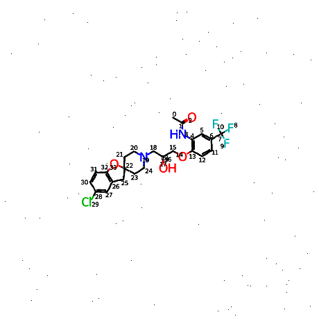 CC(=O)Nc1cc(C(F)(F)F)ccc1OC[C@@H](O)CN1CCC2(CC1)Cc1cc(Cl)ccc1O2